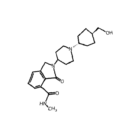 CNC(=O)c1cccc2c1C(=O)N(C1CCN([C@H]3CC[C@H](CO)CC3)CC1)C2